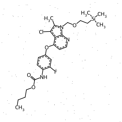 CCCCOC(=O)Nc1ccc(Oc2ccnc3c2c(Cl)c(C)n3COCC[Si](C)(C)C)cc1F